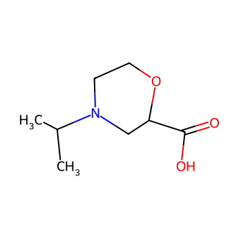 CC(C)N1CCOC(C(=O)O)C1